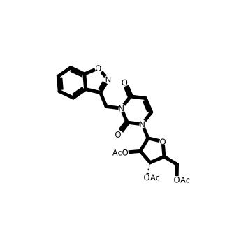 CC(=O)OCC1OC(n2ccc(=O)n(Cc3noc4ccccc34)c2=O)C(OC(C)=O)[C@H]1OC(C)=O